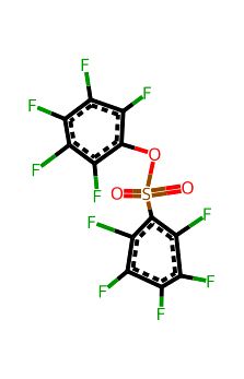 O=S(=O)(Oc1c(F)c(F)c(F)c(F)c1F)c1c(F)c(F)c(F)c(F)c1F